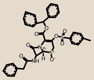 Cc1ccc(S(=O)(=O)OC2=C(C(=O)OC(c3ccccc3)c3ccccc3)N3C(=O)C(NC(=O)Cc4ccccc4)[C@H]3[S+]([O-])C2)cc1